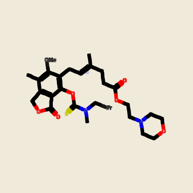 COc1c(C)c2c(c(OC(=S)N(C)CC(C)C)c1C/C=C(\C)CCC(=O)OCCN1CCOCC1)C(=O)OC2